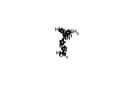 CNC(=O)c1cc(Oc2ccc(CNC(=O)Nc3cc(C)ccc3OC3CCNCC3)cc2)ccn1